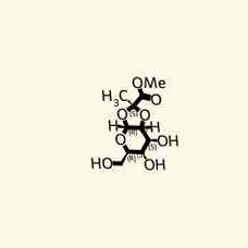 COC(=O)[C@]1(C)O[C@H]2O[C@H](CO)[C@@H](O)[C@H](O)[C@H]2O1